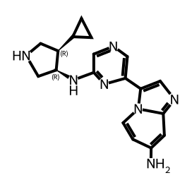 Nc1ccn2c(-c3cncc(N[C@H]4CNC[C@H]4C4CC4)n3)cnc2c1